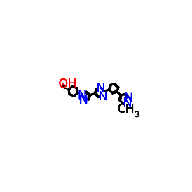 Cc1cc(-c2cccc(-c3ncc(-c4cnn([C@H]5CC[C@H](CO)CC5)c4)cn3)c2)cnn1